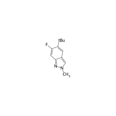 Cn1cc2cc(C(C)(C)C)c(F)cc2n1